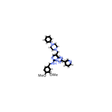 COc1ccc(CNc2ncc(CN3CCN(c4ccccc4)CC3)c3nc(-c4cccnc4)nn23)cc1OC